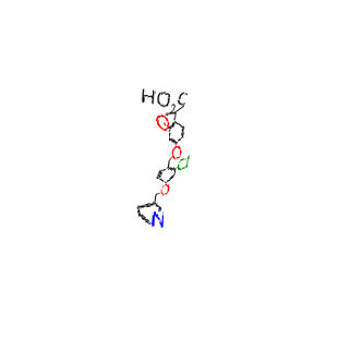 O=C(O)CC1COc2cc(OCc3ccc(OCc4cccnc4)cc3Cl)ccc21